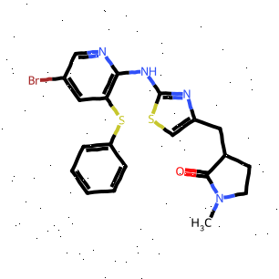 CN1CCC(Cc2csc(Nc3ncc(Br)cc3Sc3ccccc3)n2)C1=O